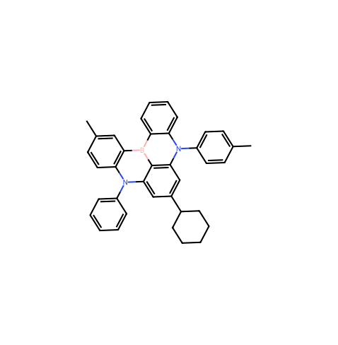 Cc1ccc(N2c3ccccc3B3c4cc(C)ccc4N(c4ccccc4)c4cc(C5CCCCC5)cc2c43)cc1